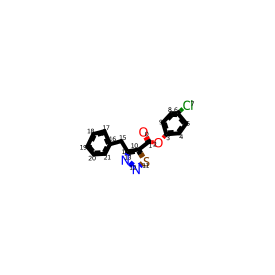 O=C(Oc1ccc(Cl)cc1)c1snnc1Cc1ccccc1